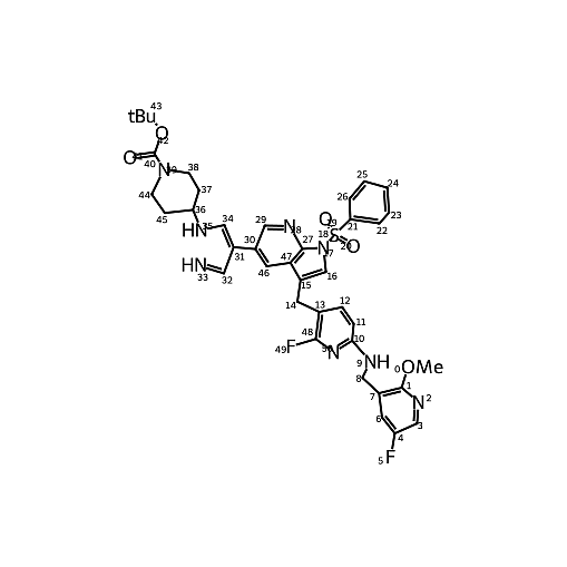 COc1ncc(F)cc1CNc1ccc(Cc2cn(S(=O)(=O)c3ccccc3)c3ncc(/C(C=N)=C/NC4CCN(C(=O)OC(C)(C)C)CC4)cc23)c(F)n1